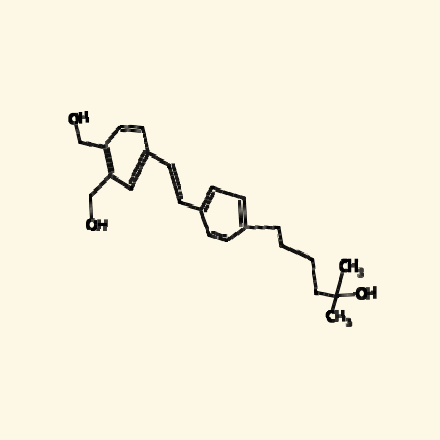 CC(C)(O)CCCCc1ccc(C=Cc2ccc(CO)c(CO)c2)cc1